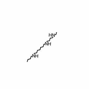 CCCCNCCCCCCCNCCCCNCC